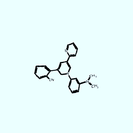 CN(C)c1cccc(N2C=C(c3ccccn3)C=C(c3ccccc3C#N)C2)c1